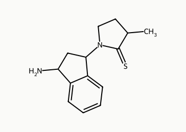 CC1CCN(C2CC(N)c3ccccc32)C1=S